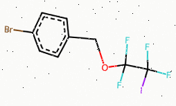 FC(F)(I)C(F)(F)OCc1ccc(Br)cc1